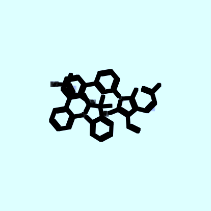 C=Cc1c(/C=C\C(=C)C)c(C)n(-c2cccc(-c3cccc(-c4ccccc4N4c5ccccc5C(C)(C)C4C/C=C(\C)C#N)c3C#N)c2)c1CCC